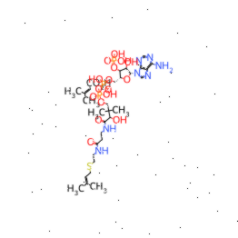 CC(C)=CC(=O)O.CC(C)=CCSCCNC(=O)CCNC(=O)C(O)C(C)(C)COP(=O)(O)OP(=O)(O)OC[C@H]1O[C@@H](n2cnc3c(N)ncnc32)[C@H](O)[C@@H]1OP(=O)(O)O